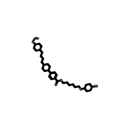 CCCCOC1CCC(CCCCC2CCC(c3ccc(C(=O)OCCCCCCOC4CCC(CC)CC4)cc3)CC2)CC1